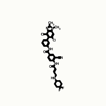 Cc1nc2c(Cl)c(-c3cccc(NC(=O)c4ccc(NC(=O)C=CCNC5CCC(F)(F)CC5)c(C#N)c4)c3)c(Cl)cc2n1C